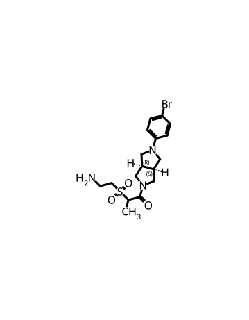 CC(C(=O)N1C[C@@H]2CN(c3ccc(Br)cc3)C[C@@H]2C1)S(=O)(=O)CCN